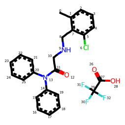 Cc1cccc(Cl)c1CNCC(=O)N(c1ccccc1)c1ccccc1.O=C(O)C(F)(F)F